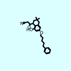 CC1(C)Cc2cc(OCCCCCc3ccccc3)cc(O)c2C(C(=O)CC#N)C1